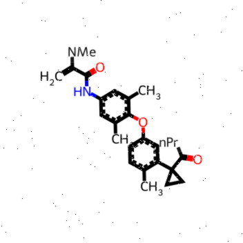 C=C(NC)C(=O)Nc1cc(C)c(Oc2ccc(C)c(C3(C(=O)CCC)CC3)c2)c(C)c1